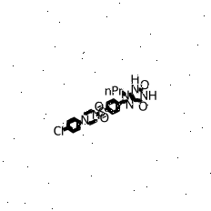 CCCn1c(-c2ccc(S(=O)(=O)N3CCN(c4ccc(Cl)cc4)CC3)cc2)nc2c(=O)[nH]c(=O)[nH]c21